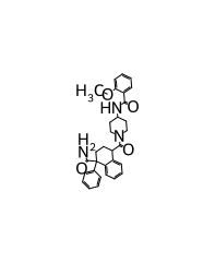 COc1ccccc1C(=O)NC1CCN(C(=O)C2CCC(C(N)=O)(c3ccccc3)c3ccccc32)CC1